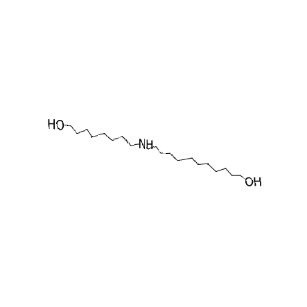 OCCCCCCCCCCCCNCCCCCCCCO